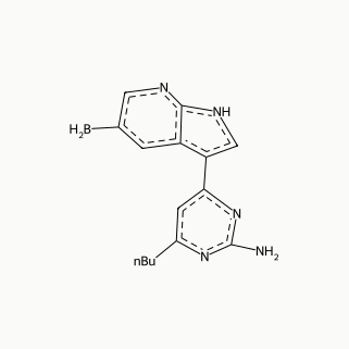 Bc1cnc2[nH]cc(-c3cc(CCCC)nc(N)n3)c2c1